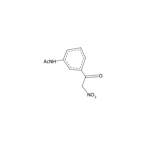 CC(=O)Nc1cccc(C(=O)C[N+](=O)[O-])c1